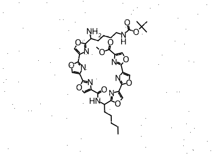 CCCCCC(NC(=O)c1coc(-c2coc(-c3coc(C(N)CCCCNC(=O)OC(C)(C)C)n3)n2)n1)c1nc(-c2nc(-c3nc(C(=O)OC)co3)co2)co1